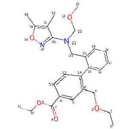 CCOCc1cc(C(=O)OCC)ccc1-c1ccccc1CN(COC)c1noc(C)c1C